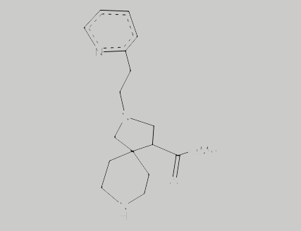 COC(=O)C1CN(CCc2ccccn2)CC12CCNCC2